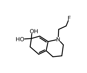 OC1(O)C=C2C(=CC1)CCCN2CCF